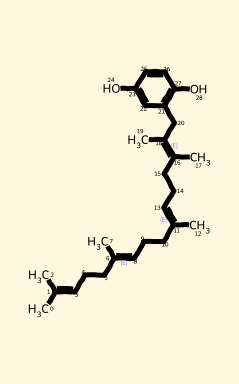 CC(C)=CCC/C(C)=C/CC/C(C)=C/CC/C(C)=C(\C)Cc1cc(O)ccc1O